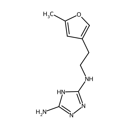 Cc1cc(CCNc2nnc(N)[nH]2)co1